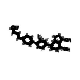 OCCCc1ccc(-c2ccc(-c3ccc(O)c4c3CCC4O)cc2F)cc1